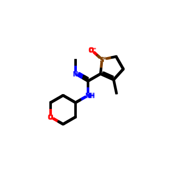 C/N=C(/NC1CCOCC1)C1=C(C)CC[S+]1[O-]